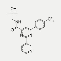 CC(C)(O)CNC(=O)c1cc(-c2ccc(C(F)(F)F)cc2)nc(-c2cccnc2)n1